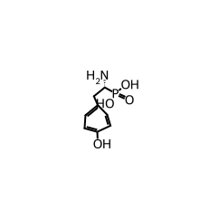 N[C@@H](Cc1ccc(O)cc1)P(=O)(O)O